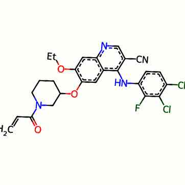 C=CC(=O)N1CCCC(Oc2cc3c(Nc4ccc(Cl)c(Cl)c4F)c(C#N)cnc3cc2OCC)C1